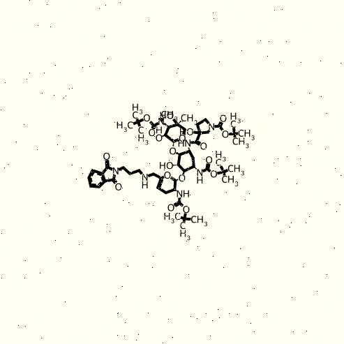 CN(C(=O)OC(C)(C)C)[C@@H]1[C@@H](O)[C@@H](O[C@@H]2[C@@H](O)[C@H](O[C@H]3OC(CNCCCN4C(=O)c5ccccc5C4=O)=CC[C@H]3NC(=O)OC(C)(C)C)[C@@H](NC(=O)OC(C)(C)C)C[C@H]2NC(=O)C2(O)CCN(C(=O)OC(C)(C)C)C2)OC[C@]1(C)O